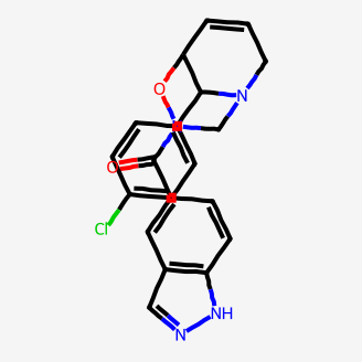 O=C(c1ccc2[nH]ncc2c1)N1CN2CC=CC(O1)C2c1ccc(Cl)cc1